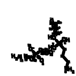 NCCCC(O)(O)O.O=P([O-])([O-])[O-].[AlH3].[Mg+2].[Na+].[Na+].[Na+].[OH-].[OH-]